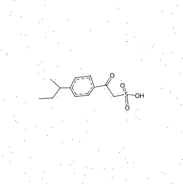 CCC(C)c1ccc(C(=O)CS(=O)(=O)O)cc1